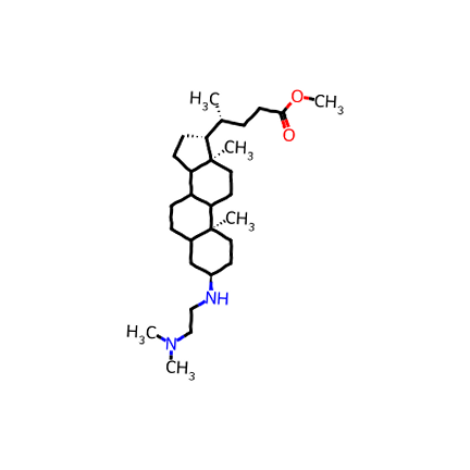 COC(=O)CC[C@@H](C)[C@H]1CCC2C3CCC4C[C@H](NCCN(C)C)CC[C@]4(C)C3CC[C@@]21C